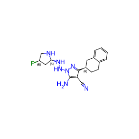 N#Cc1c([C@@H]2CCc3ccccc3C2)nn(NN[C@H]2C[C@@H](F)CN2)c1N